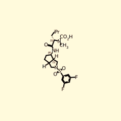 CC(C)C[C@@H](C(=O)N[C@@H]1CC[C@H]2CN(S(=O)(=O)c3cc(F)cc(F)c3)C[C@H]21)N(C)C(=O)O